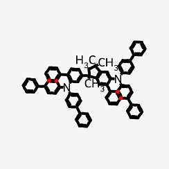 CC1(C)CC(C)(c2ccc(-c3ccccc3)c(N(c3ccc(-c4ccccc4)cc3)c3ccc(-c4ccccc4)cc3)c2)c2cc(-c3ccccc3)c(N(c3ccc(-c4ccccc4)cc3)c3ccc(-c4ccccc4)cc3)cc21